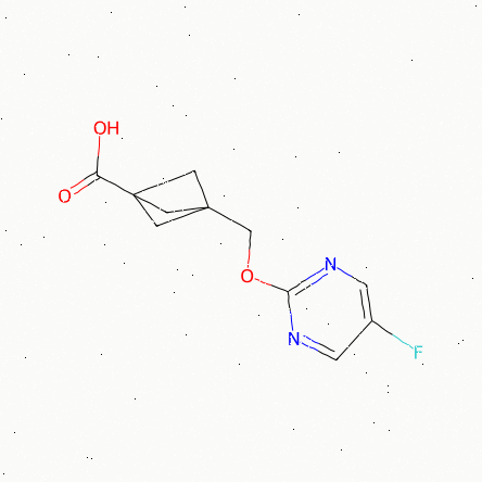 O=C(O)C12CC(COc3ncc(F)cn3)(C1)C2